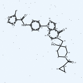 Cc1ncsc1C(=O)Nc1ccc(-n2ncc3c(=O)n(CC4(O)CCN(C(=O)C5CC5)CC4)cnc32)cc1